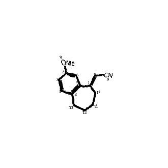 COc1ccc2c(c1)C(=CC#N)CCCC2